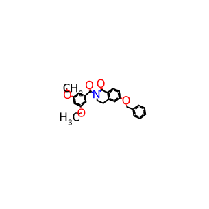 COc1cc(OC)cc(C(=O)N2CCc3cc(OCc4ccccc4)ccc3C2=O)c1